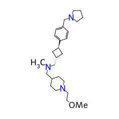 COCCN1CCC(CN(C)C[C@H]2C[C@H](c3ccc(CN4CCCC4)cc3)C2)CC1